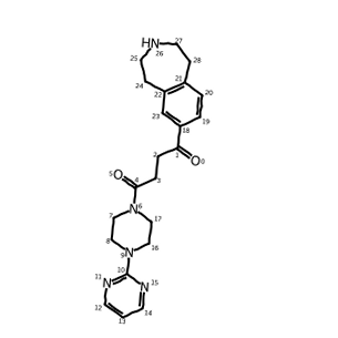 O=C(CCC(=O)N1CCN(c2ncccn2)CC1)c1ccc2c(c1)CCNCC2